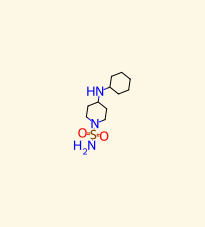 NS(=O)(=O)N1CCC(NC2CCCCC2)CC1